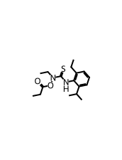 CCC(=O)ON(CC)C(=S)Nc1c(CC)cccc1C(C)C